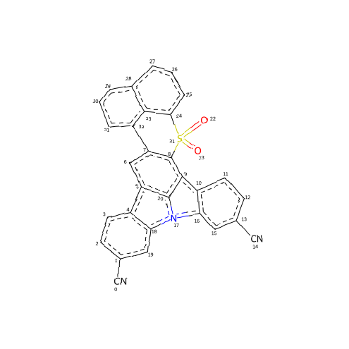 N#Cc1ccc2c3cc4c(c5c6ccc(C#N)cc6n(c2c1)c35)S(=O)(=O)c1cccc2cccc-4c12